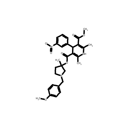 COC(=O)C1=C(C)NC(C)=C(C(=O)OC2(C)CCN(Cc3ccc(OC)cc3)C2)C1c1cccc([N+](=O)[O-])c1